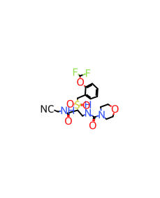 N#CCNC(=O)C(CNC(=O)N1CCOCC1)S(=O)(=O)Cc1ccccc1OC(F)F